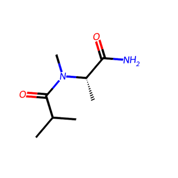 CC(C)C(=O)N(C)[C@@H](C)C(N)=O